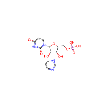 O=c1ccn([C@@H]2O[C@H](COP(=O)(O)O)[C@@H](O)[C@H]2O)c(=O)[nH]1.c1cncnc1